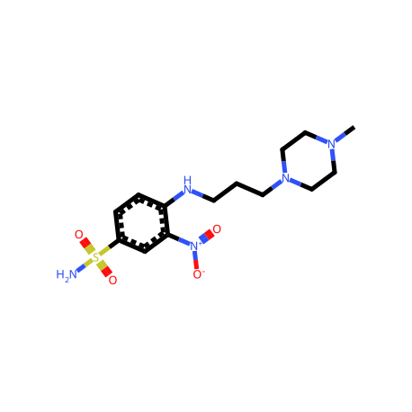 CN1CCN(CCCNc2ccc(S(N)(=O)=O)cc2[N+](=O)[O-])CC1